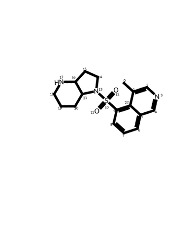 Cc1cncc2cccc(S(=O)(=O)N3CCC4NCCCC43)c12